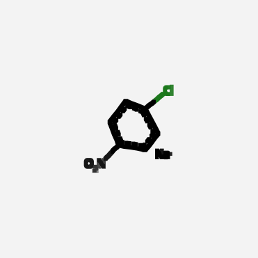 O=[N+]([O-])c1ccc(Cl)cc1.[Na]